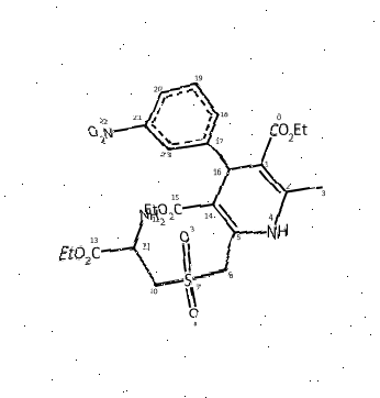 CCOC(=O)C1=C(C)NC(CS(=O)(=O)CC(N)C(=O)OCC)=C(C(=O)OCC)C1c1cccc([N+](=O)[O-])c1